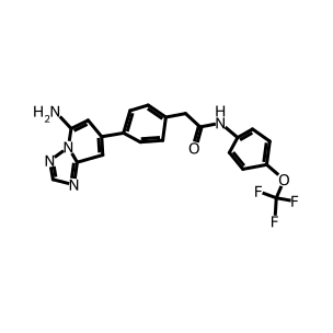 Nc1cc(-c2ccc(CC(=O)Nc3ccc(OC(F)(F)F)cc3)cc2)cc2ncnn12